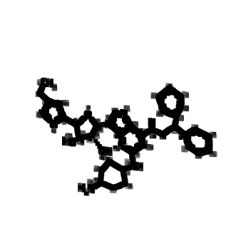 CCc1noc(C2O[C@@H](n3cnc4c(NCC(c5ccccc5)c5ccccc5)nc(NC5CCC(N)CC5)nc43)[C@H](O)[C@@H]2O)n1